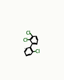 Clc1ccc[c]c1-c1cccc(Cl)c1Cl